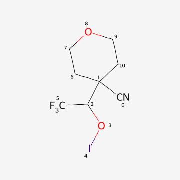 N#CC1(C(OI)C(F)(F)F)CCOCC1